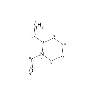 C=CC1CCCCN1C=O